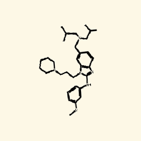 COc1cccc(Nc2nc3ccc(CN(CC(C)C)CC(C)C)cc3n2CCCN2CCCCC2)c1